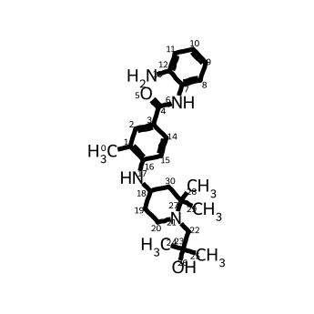 Cc1cc(C(=O)Nc2ccccc2N)ccc1NC1CCN(CC(C)(C)O)C(C)(C)C1